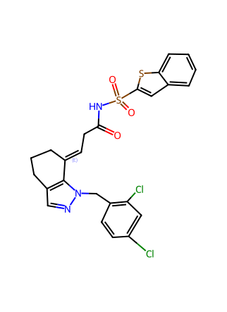 O=C(C/C=C1\CCCc2cnn(Cc3ccc(Cl)cc3Cl)c21)NS(=O)(=O)c1cc2ccccc2s1